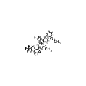 CCOc1ccncc1-c1ccc(N2CCN(C(=O)c3ccc(C(F)(F)F)cc3Cl)C[C@H]2CC)c(C(N)=O)c1